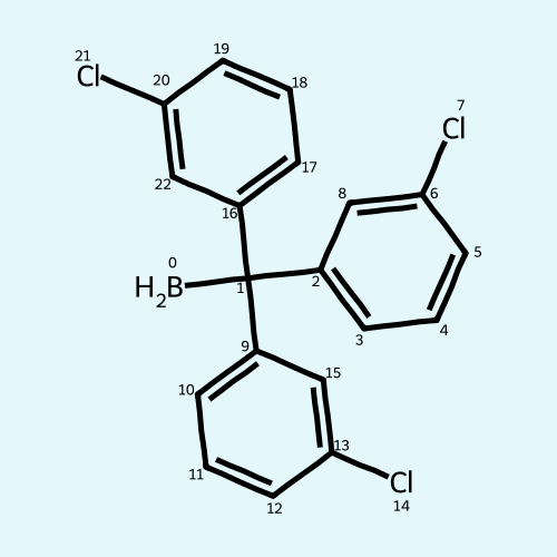 BC(c1cccc(Cl)c1)(c1cccc(Cl)c1)c1cccc(Cl)c1